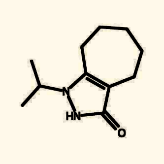 CC(C)n1[nH]c(=O)c2c1CCCCC2